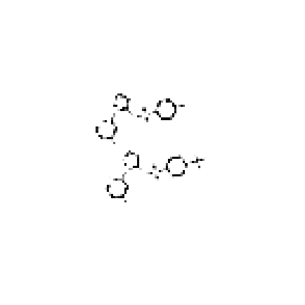 Cc1ccnc(-n2nccc2NS(=O)(=O)c2ccc(C(F)(F)F)cc2)c1.Cc1ccnc(-n2nccc2NS(=O)(=O)c2ccc(Cl)cc2)c1